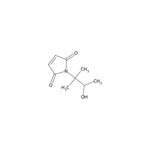 CC(O)C(C)(C)N1C(=O)C=CC1=O